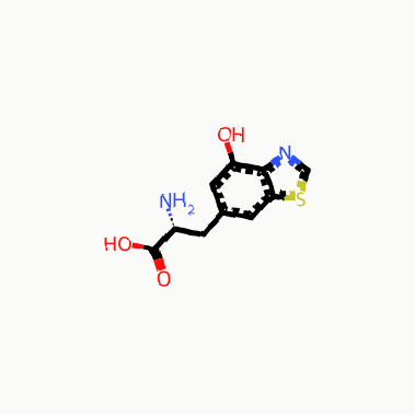 N[C@H](Cc1cc(O)c2ncsc2c1)C(=O)O